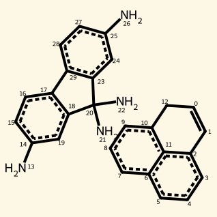 C1=Cc2cccc3cccc(c23)C1.Nc1ccc2c(c1)C(N)(N)c1cc(N)ccc1-2